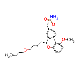 C=CCCOCC=CCC1Oc2cccc(OC)c2-c2ccc(CS(N)(=O)=O)cc21